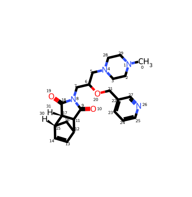 CN1CCN(CC(CN2C(=O)C3C4C=C[C@@H](C4)[C@@H]3C2=O)OCc2cccnc2)CC1